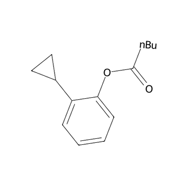 CCCCC(=O)Oc1ccccc1C1CC1